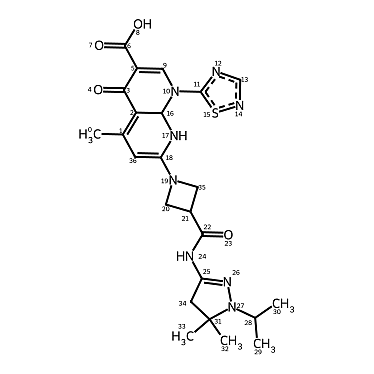 CC1=C2C(=O)C(C(=O)O)=CN(c3ncns3)C2NC(N2CC(C(=O)NC3=NN(C(C)C)C(C)(C)C3)C2)=C1